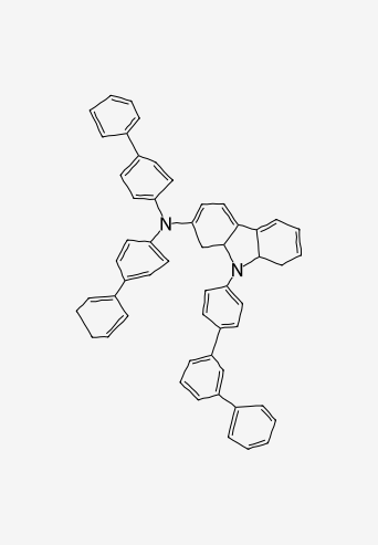 C1=CCC2C(=C1)C1=CC=C(N(c3ccc(C4=CCCC=C4)cc3)c3ccc(-c4ccccc4)cc3)CC1N2c1ccc(-c2cccc(-c3ccccc3)c2)cc1